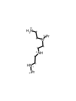 CC(C)NCCNCCN(CCN)C(C)C